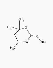 CCCCOB1OC(C)CC(C)(C)O1